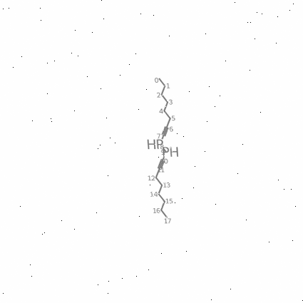 CCCCCCC#CPPC#CCCCCCC